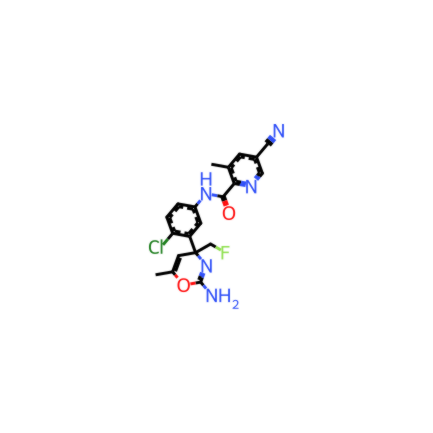 CC1=CC(CF)(c2cc(NC(=O)c3ncc(C#N)cc3C)ccc2Cl)N=C(N)O1